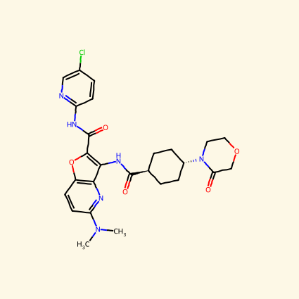 CN(C)c1ccc2oc(C(=O)Nc3ccc(Cl)cn3)c(NC(=O)[C@H]3CC[C@H](N4CCOCC4=O)CC3)c2n1